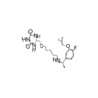 C[C@@H](NCCCCCOCC1NC(=O)NC(=O)N1)c1ccc(F)c(OCC2CC2)c1